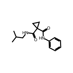 CC(C)CNC(=O)C1(C(=O)Nc2ccccc2)CC1